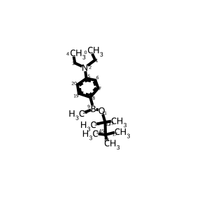 CCN(CC)c1ccc(B(C)OC(C)(C)C(C)(C)C)cc1